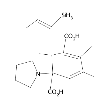 CC1=CC(C(=O)O)(N2CCCC2)C(C)C(C(=O)O)=C1C.CC=C[SiH3]